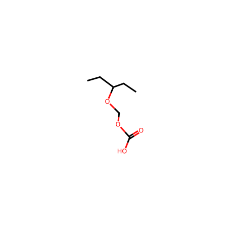 CCC(CC)OCOC(=O)O